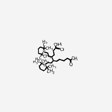 CC1(C)CCCC(C)(C)N1CCC(CCCCC(=O)O)C(CCC(=O)O)CCN1C(C)(C)CCCC1(C)C